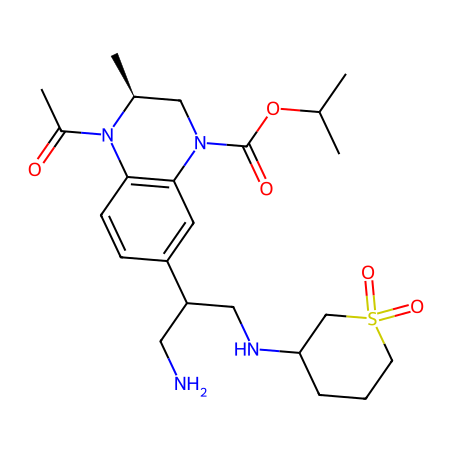 CC(=O)N1c2ccc(C(CN)CNC3CCCS(=O)(=O)C3)cc2N(C(=O)OC(C)C)C[C@@H]1C